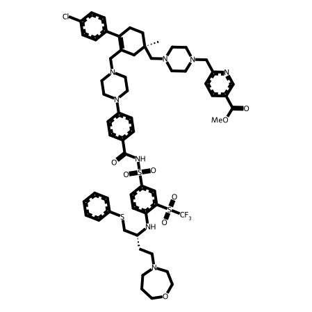 COC(=O)c1ccc(CN2CCN(C[C@]3(C)CCC(c4ccc(Cl)cc4)=C(CN4CCN(c5ccc(C(=O)NS(=O)(=O)c6ccc(N[C@H](CCN7CCCOCC7)CSc7ccccc7)c(S(=O)(=O)C(F)(F)F)c6)cc5)CC4)C3)CC2)nc1